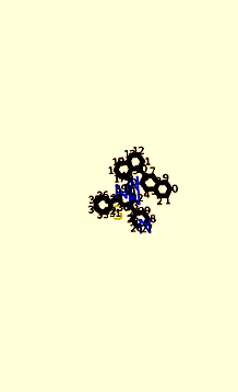 c1ccc2cc3c(cc2c1)-c1cccc2cccc(c12)N3c1nc(-c2ccncc2)c2sc3ccccc3c2n1